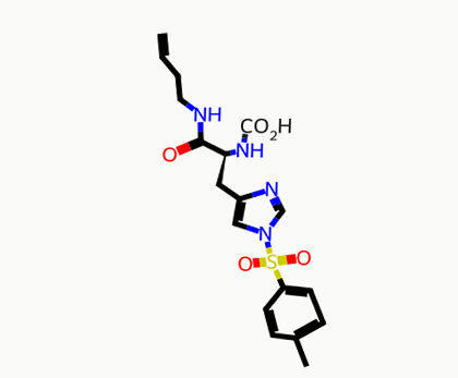 C=CCCNC(=O)[C@H](Cc1cn(S(=O)(=O)c2ccc(C)cc2)cn1)NC(=O)O